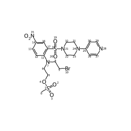 CS(=O)(=O)OCCN(CCBr)c1ccc([N+](=O)[O-])cc1S(=O)(=O)N1CCN(c2ccncc2)CC1